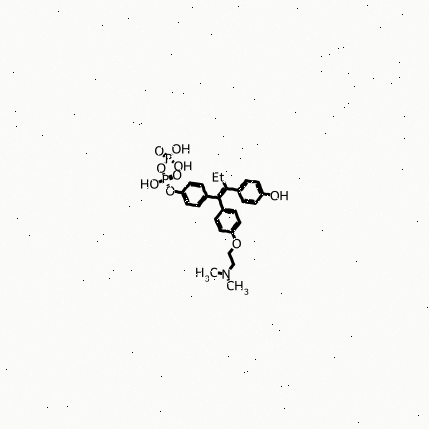 CCC(=C(c1ccc(OCCN(C)C)cc1)c1ccc(OP(=O)(O)OP(=O)(O)O)cc1)c1ccc(O)cc1